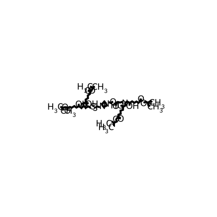 CCC(CC)COC(=O)CCCCC(O)CN(CCCC(=O)OCCN1CCN(CCSSCCCN(CC(O)CCCCC(=O)OC(C)C)CC(O)CCCCC(=O)OC(C)C)CC1)CC(O)CCCCC(=O)OCC(CC)CC